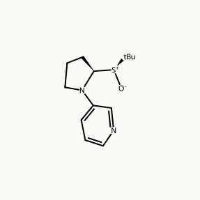 CC(C)(C)[S@@+]([O-])[C@@H]1CCCN1c1cccnc1